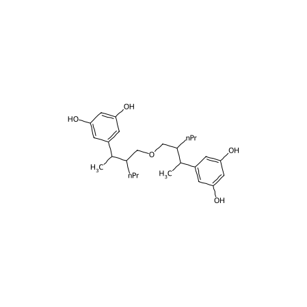 CCCC(COCC(CCC)C(C)c1cc(O)cc(O)c1)C(C)c1cc(O)cc(O)c1